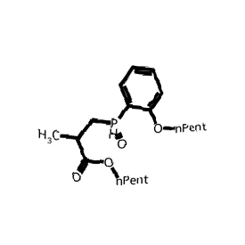 CCCCCOC(=O)C(C)C[PH](=O)c1ccccc1OCCCCC